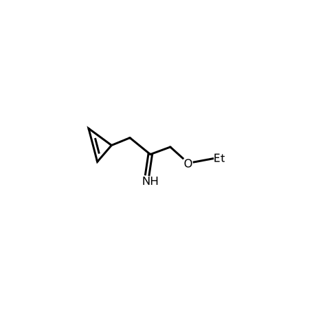 CCOCC(=N)CC1C=C1